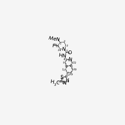 CN[C@H]1CCN(C(=O)Nc2cc3cc(-c4nnc(C)s4)ccc3cn2)C[C@H]1F